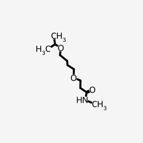 CNC(=O)CCOCCCCOC(C)C